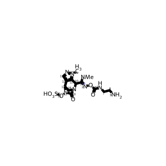 CN/C(=N\OC(=O)NCCN)C1c2c(cnn2C)C2CN1C(=O)N2OS(=O)(=O)O